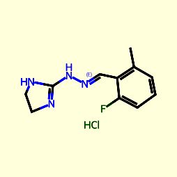 Cc1cccc(F)c1/C=N/NC1=NCCN1.Cl